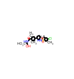 Cc1cc(S(=O)(=O)Nc2cccc(-c3cc(C)c(C(=O)CN[C@@H](CO)C(=O)O)c(C)c3)c2)c(C)cc1Cl